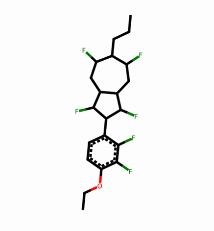 CCCC1C(F)CC2C(F)C(c3ccc(OCC)c(F)c3F)C(F)C2CC1F